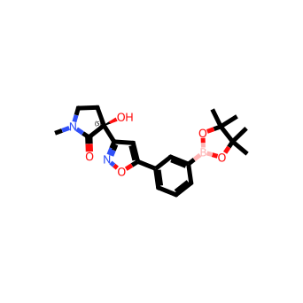 CN1CC[C@](O)(c2cc(-c3cccc(B4OC(C)(C)C(C)(C)O4)c3)on2)C1=O